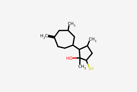 C=C1CCC(C2C(C)CC(S)C2(C)O)CC(C)C1